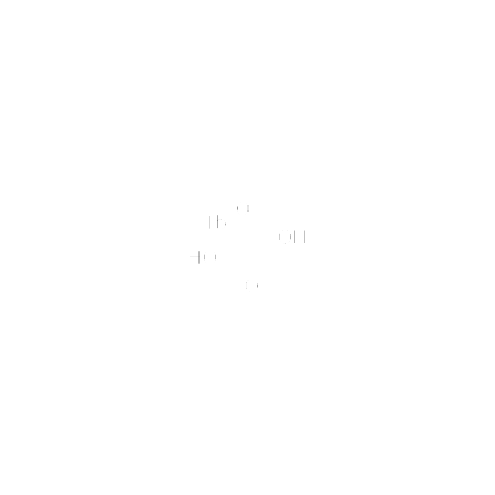 O=C(O)C(=O)O.[Tb]